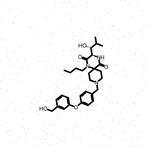 CCCCN1C(=O)[C@@H]([C@H](O)C(C)C)NC(=O)C12CCN(Cc1ccc(Oc3cccc(CO)c3)cc1)CC2